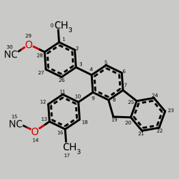 Cc1cc(-c2ccc3c(c2-c2ccc(OC#N)c(C)c2)Cc2ccccc2-3)ccc1OC#N